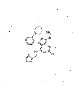 N[C@H]1CCCN(c2ccccc2)[C@H]1c1sc2c(NCc3cccs3)cc(Cl)nc2c1Br